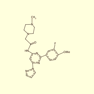 COc1ccc(-c2nc(NC(=O)CN3CCN(C)CC3)cc(-n3cccn3)n2)cc1F